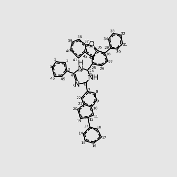 c1ccc(C2=NC(c3ccc4cc(-c5ccccc5)ccc4c3)NC(c3ccc(-c4ccccc4)c4oc5ccccc5c34)N2)cc1